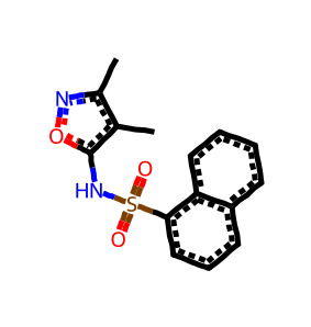 Cc1noc(NS(=O)(=O)c2cccc3ccccc23)c1C